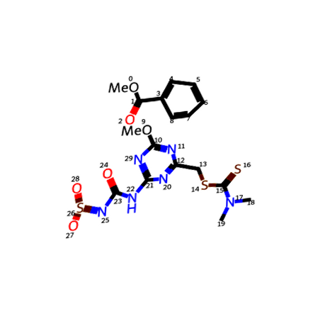 COC(=O)c1ccccc1.COc1nc(CSC(=S)N(C)C)nc(NC(=O)N=S(=O)=O)n1